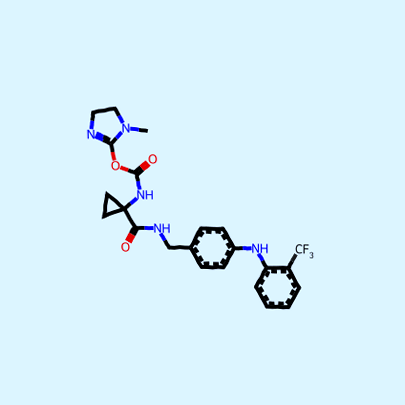 CN1CCN=C1OC(=O)NC1(C(=O)NCc2ccc(Nc3ccccc3C(F)(F)F)cc2)CC1